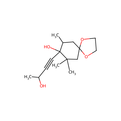 CC(O)C#CC1(O)C(C)CC2(CC1(C)C)OCCO2